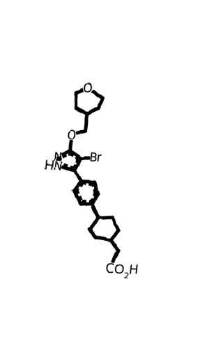 O=C(O)CC1CCC(c2ccc(-c3[nH]nc(OCC4CCOCC4)c3Br)cc2)CC1